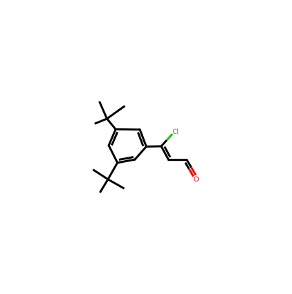 CC(C)(C)c1cc(C(Cl)=CC=O)cc(C(C)(C)C)c1